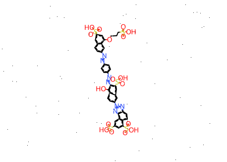 O=S(=O)(O)CCCOc1cc(S(=O)(=O)O)cc2ccc(N=Nc3ccc(N=Nc4c(S(=O)(=O)O)cc5cc(-n6nc7ccc8c(S(=O)(=O)O)cc(S(=O)(=O)O)cc8c7n6)ccc5c4O)cc3)cc12